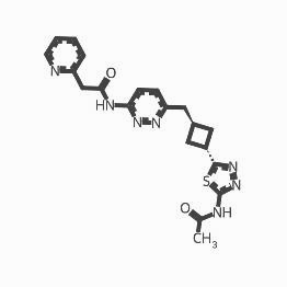 CC(=O)Nc1nnc([C@H]2C[C@H](Cc3ccc(NC(=O)Cc4ccccn4)nn3)C2)s1